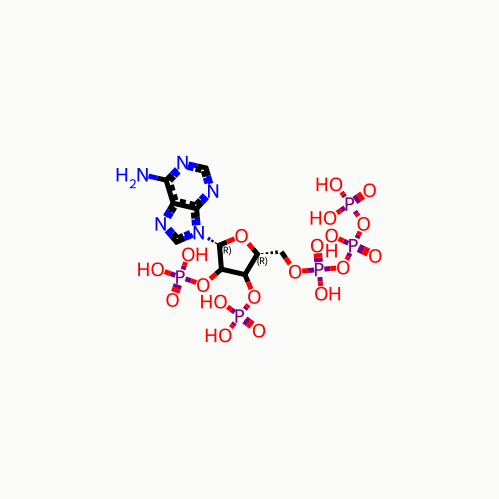 Nc1ncnc2c1ncn2[C@@H]1O[C@H](COP(=O)(O)OP(=O)(O)OP(=O)(O)O)C(OP(=O)(O)O)C1OP(=O)(O)O